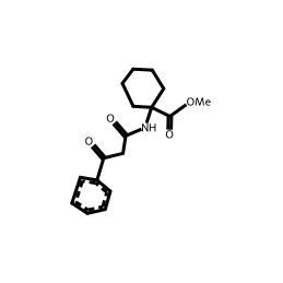 COC(=O)C1(NC(=O)CC(=O)c2ccccc2)CCCCC1